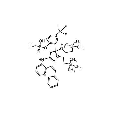 C[Si](C)(C)CCOC(OCC[Si](C)(C)C)(OC(=O)Nc1cccnc1C=Cc1ccccc1)c1cc(C(F)(F)F)ccc1OP(=O)(O)O